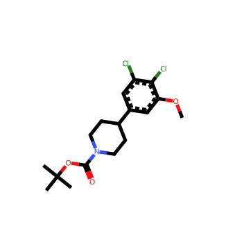 COc1cc(C2CCN(C(=O)OC(C)(C)C)CC2)cc(Cl)c1Cl